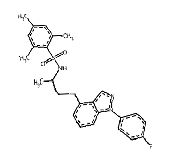 Cc1cc(C)c(S(=O)(=O)NC(C)CCc2cccc3c2cnn3-c2ccc(F)cc2)c(C)c1